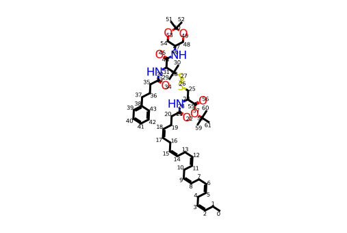 CC/C=C\C/C=C\C/C=C\C/C=C\C/C=C\C/C=C\CCC(=O)NC(CSSC(C)(C)C(NC(=O)CCCc1ccccc1)C(=O)NC1COC(C)(C)OC1)C(=O)OC(C)(C)C